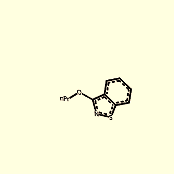 CCCOc1nsc2ccccc12